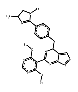 CCOc1ncnc(OCC)c1C1=NC(Cc2ccc(C3=NC(C(F)(F)F)CN3CC)cc2)C2=CN=NC2=N1